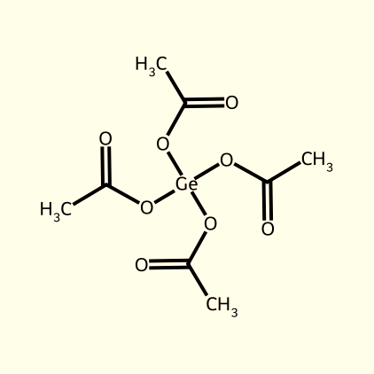 CC(=O)[O][Ge]([O]C(C)=O)([O]C(C)=O)[O]C(C)=O